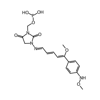 CONc1ccc(/C(=C/C=C/C=N/N2CC(=O)N(COP(O)O)C2=O)OC)cc1